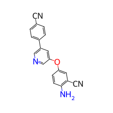 N#Cc1ccc(-c2cncc(Oc3ccc(N)c(C#N)c3)c2)cc1